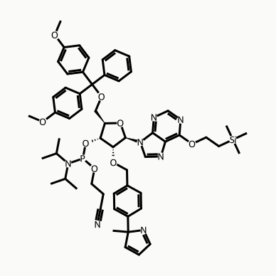 COc1ccc(C(OC[C@H]2O[C@@H](n3cnc4c(OCC[Si](C)(C)C)ncnc43)[C@H](OCc3ccc(C4(C)C=CC=N4)cc3)[C@@H]2OP(OCCC#N)N(C(C)C)C(C)C)(c2ccccc2)c2ccc(OC)cc2)cc1